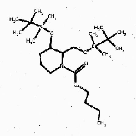 CCCCOC(=O)N1CCCC(O[Si](C)(C)C(C)(C)C)C1CO[Si](C)(C)C(C)(C)C